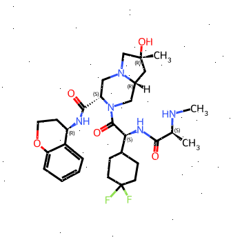 CN[C@@H](C)C(=O)N[C@H](C(=O)N1C[C@H]2C[C@@](C)(O)CN2C[C@H]1C(=O)N[C@@H]1CCOc2ccccc21)C1CCC(F)(F)CC1